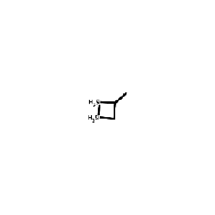 CC1C[SiH2][SiH2]1